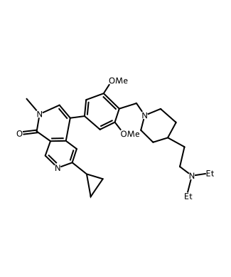 CCN(CC)CCC1CCN(Cc2c(OC)cc(-c3cn(C)c(=O)c4cnc(C5CC5)cc34)cc2OC)CC1